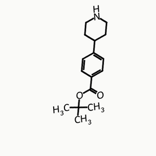 CC(C)(C)OC(=O)c1ccc(C2CCNCC2)cc1